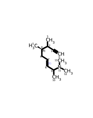 C#CC(C)[C@H](C)C/C=C/C(C)N(C)C